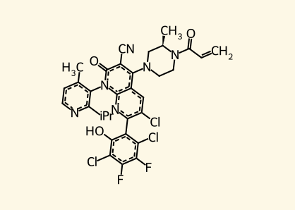 C=CC(=O)N1CCN(c2c(C#N)c(=O)n(-c3c(C)ccnc3C(C)C)c3nc(-c4c(O)c(Cl)c(F)c(F)c4Cl)c(Cl)cc23)C[C@H]1C